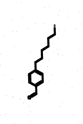 O=Cc1ccc(CCCCCCI)cc1